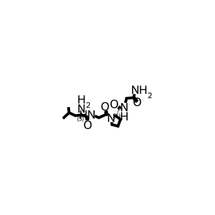 CC(C)C[C@H](N)C(=O)NCC(=O)N1CCC[C@H]1C(=O)NCC(N)=O